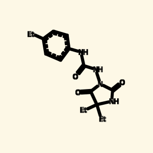 CCc1ccc(NC(=O)NN2C(=O)NC(CC)(CC)C2=O)cc1